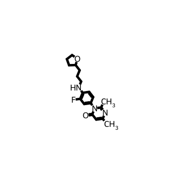 Cc1cc(=O)n(-c2ccc(NCCCC3CCCO3)c(F)c2)c(C)n1